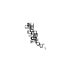 CC(C)(C)C(=O)NCc1ccc(Cl)c(C(=O)Nc2cccc3c(N[C@H]4CC[C@H](C(F)(F)F)CC4)nccc23)c1F